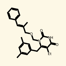 CCc1c(Cc2cc(C)cc(C)c2)n(COC/C(C)=C/c2ccccc2)c(=O)[nH]c1=O